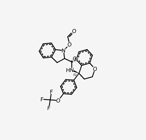 O=CON1c2ccccc2CC1C(=O)N[C@]1(c2ccc(OC(F)(F)F)cc2)CCOc2cccnc21